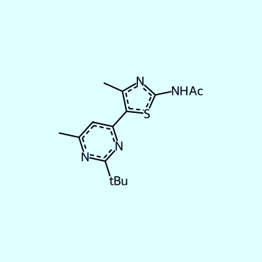 CC(=O)Nc1nc(C)c(-c2cc(C)nc(C(C)(C)C)n2)s1